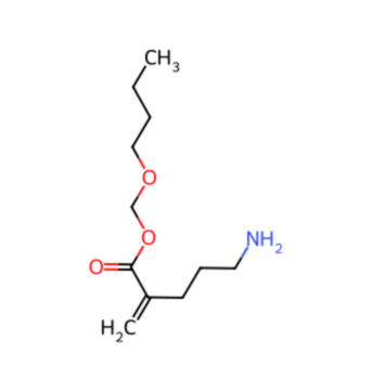 C=C(CCCN)C(=O)OCOCCCC